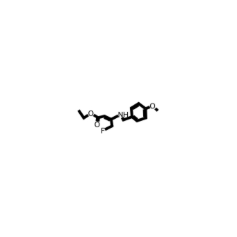 CCOC(=O)/C=C(\CF)NCc1ccc(OC)cc1